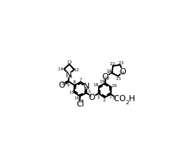 O=C(O)c1cc(Oc2ncc(C(=O)N3CCC3)cc2Cl)cc(O[C@H]2CCOC2)c1